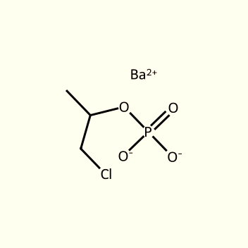 CC(CCl)OP(=O)([O-])[O-].[Ba+2]